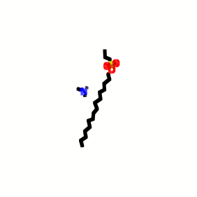 CCCCCCCCCCCCCCCCOS(=O)(=O)CCC.CN(C)C